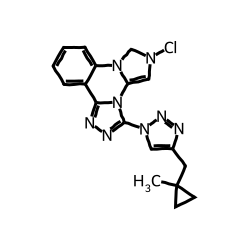 CC1(Cc2cn(-c3nnc4n3C3=CN(Cl)CN3c3ccccc3-4)nn2)CC1